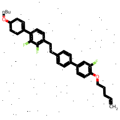 C=CCCCOc1ccc(-c2ccc(CCc3ccc(C4=CCC(OCCCC)CC4)c(F)c3F)cc2)cc1F